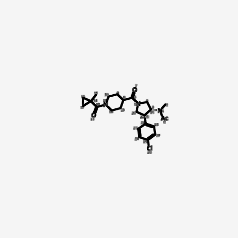 CC(=O)N(C)[C@H]1CN(C(=O)C2CCN(C(=O)C3(C)CC3)CC2)C[C@@H]1c1ccc(Cl)cc1